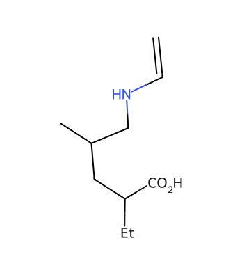 C=CNCC(C)CC(CC)C(=O)O